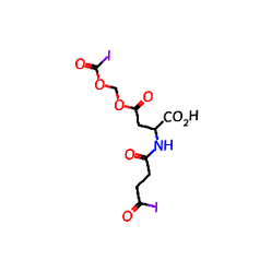 O=C(I)CCC(=O)NC(CC(=O)OCOC(=O)I)C(=O)O